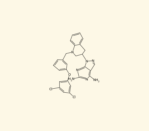 Nc1nc(N)c2cnn(C3Cc4ccccc4N(Cc4cccc(Oc5cc(Cl)cc(Cl)c5)c4)C3)c2n1